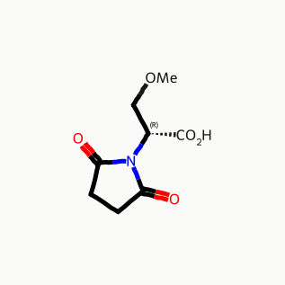 COC[C@H](C(=O)O)N1C(=O)CCC1=O